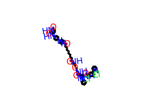 O=C(CCCCCCCCC(=O)N1CCN(c2ccc(NC3CCC(=O)NC3=O)cc2)CC1)NCCOCCNC(=O)c1cc(NC(=O)c2cc(-c3ccccn3)c(Cl)cc2Cl)n(-c2ccccc2)n1